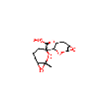 CC12OC1CCC(C(=O)O)(C1CCC3OC3O1)O2